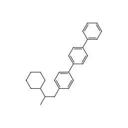 CC(Cc1ccc(-c2ccc(-c3ccccc3)cc2)cc1)C1CCCCC1